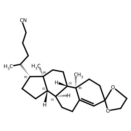 CC(CCCC#N)[C@H]1CC[C@H]2[C@@H]3CCC4=CC5(CC[C@]4(C)[C@H]3CC[C@]12C)OCCO5